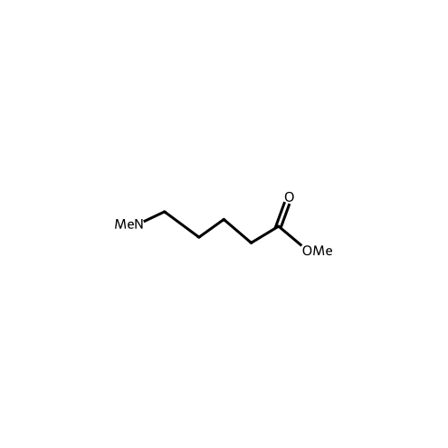 CNCCCCC(=O)OC